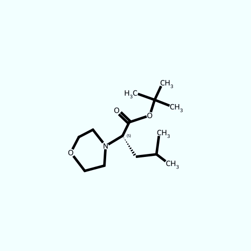 CC(C)C[C@@H](C(=O)OC(C)(C)C)N1CCOCC1